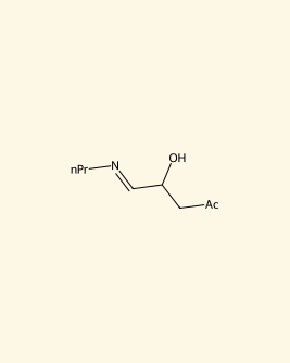 CCCN=CC(O)CC(C)=O